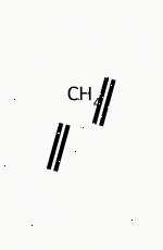 C.C=C.C=C